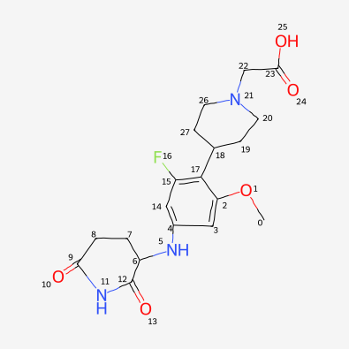 COc1cc(NC2CCC(=O)NC2=O)cc(F)c1C1CCN(CC(=O)O)CC1